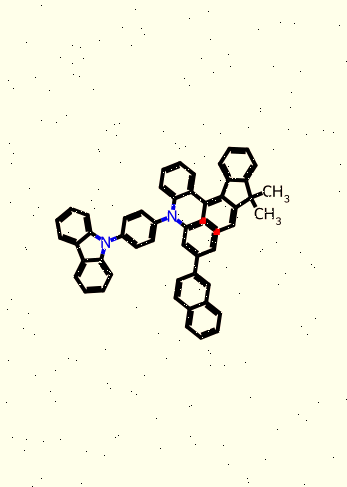 CC1(C)c2ccccc2-c2c(-c3ccccc3N(c3ccc(-n4c5ccccc5c5ccccc54)cc3)c3cccc(-c4ccc5ccccc5c4)c3)cccc21